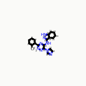 FC(F)(F)c1ccccc1-c1nnc(-n2ccnc2)c(Nc2n[nH]c3ccccc23)n1